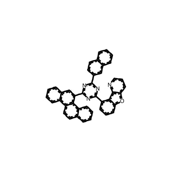 c1ccc2cc(-c3nc(-c4cc5ccccc5c5ccc6ccccc6c45)nc(-c4cccc5oc6cccnc6c45)n3)ccc2c1